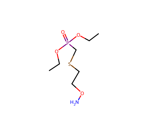 CCOP(=O)(CSCCON)OCC